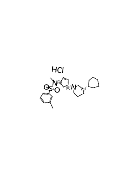 Cc1cccc(S(=O)(=O)N(C)[C@@H]2C=C[C@H](N3CCC[C@@H](C4CCCCC4)C3)C2)c1.Cl